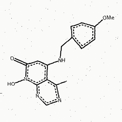 COc1ccc(CNc2cc(=O)n(O)c3ncnc(C)c23)cc1